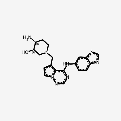 N[C@@H]1CCN(Cc2ccn3ncnc(Nc4ccc5ncsc5c4)c23)C[C@H]1O